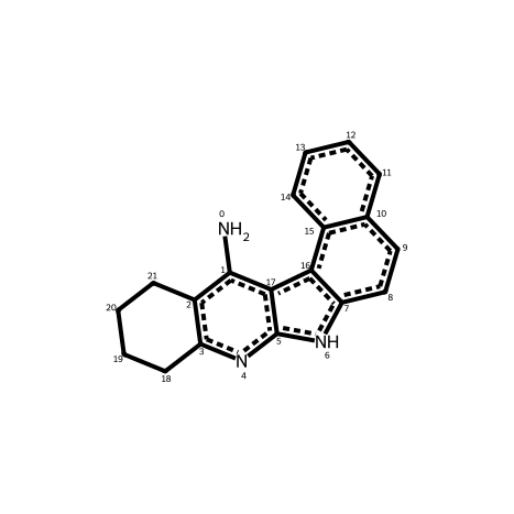 Nc1c2c(nc3[nH]c4ccc5ccccc5c4c13)CCCC2